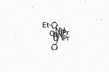 CC(C)NC(C)C.CCc1cccc(NC(=O)COCc2ccccc2)c1